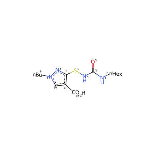 CCCCCCNC(=O)NSc1nn(CCCC)cc1C(=O)O